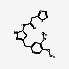 COc1ccc(CC2=NNC(NC(=O)Cc3cccs3)S2)cc1OC